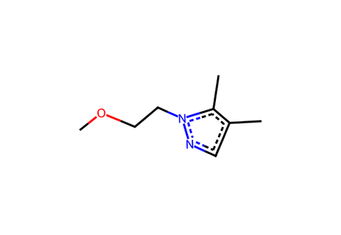 COCCn1ncc(C)c1C